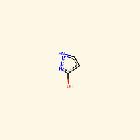 Oc1[c]c[nH]n1